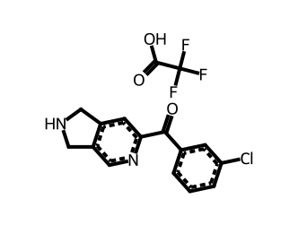 O=C(O)C(F)(F)F.O=C(c1cccc(Cl)c1)c1cc2c(cn1)CNC2